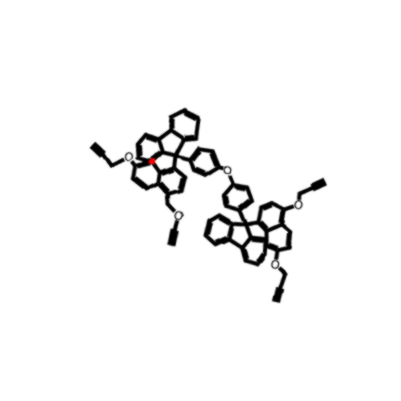 C#CCOc1ccc2c(COC#C)ccc(C3(c4ccc(Oc5ccc(C6(c7ccc(OCC#C)c8ccc(OCC#C)cc78)c7ccccc7-c7ccccc76)cc5)cc4)c4ccccc4-c4ccccc43)c2c1